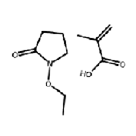 C=C(C)C(=O)O.CCON1CCCC1=O